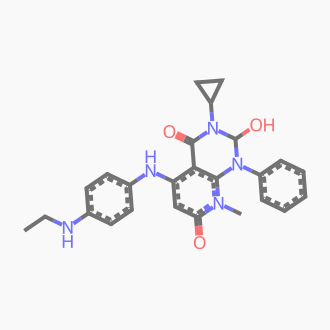 CCNc1ccc(Nc2cc(=O)n(C)c3c2C(=O)N(C2CC2)C(O)N3c2ccccc2)cc1